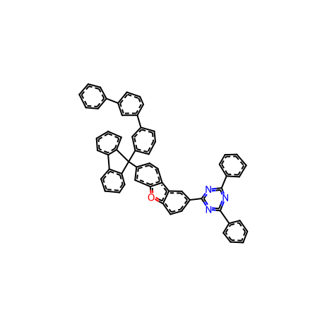 c1ccc(-c2cccc(-c3cccc(C4(c5ccc6c(c5)oc5ccc(-c7nc(-c8ccccc8)nc(-c8ccccc8)n7)cc56)c5ccccc5-c5ccccc54)c3)c2)cc1